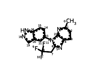 Cc1ccc2nc(CC(F)(F)F)n(-c3ccc4[nH]ncc4c3)c2n1